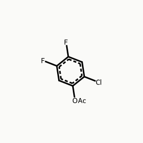 CC(=O)Oc1cc(F)c(F)cc1Cl